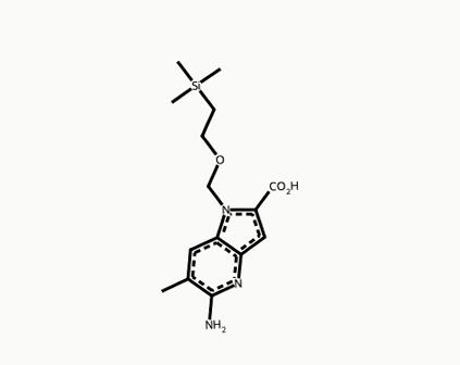 Cc1cc2c(cc(C(=O)O)n2COCC[Si](C)(C)C)nc1N